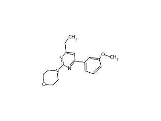 CCc1cc(-c2cccc(OC)c2)nc(N2CCOCC2)n1